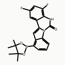 CC1(C)OB(c2cccc3c2cc2c4cc(F)cc(F)c4[nH]c(=O)n32)OC1(C)C